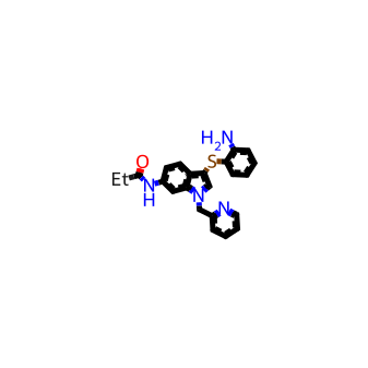 CCC(=O)Nc1ccc2c(Sc3ccccc3N)cn(Cc3ccccn3)c2c1